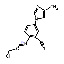 CCO/C=N/c1ccc(-n2cnc(C)c2)cc1C#N